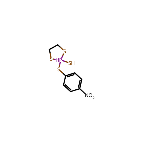 O=[N+]([O-])c1ccc(S[PH]2(S)SCCS2)cc1